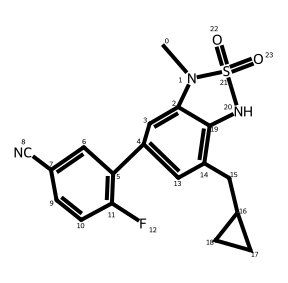 CN1c2cc(-c3cc(C#N)ccc3F)cc(CC3CC3)c2NS1(=O)=O